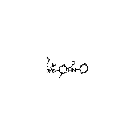 C=CCS(=O)(=O)Oc1ccc(C(=O)Nc2ccccc2)cc1C